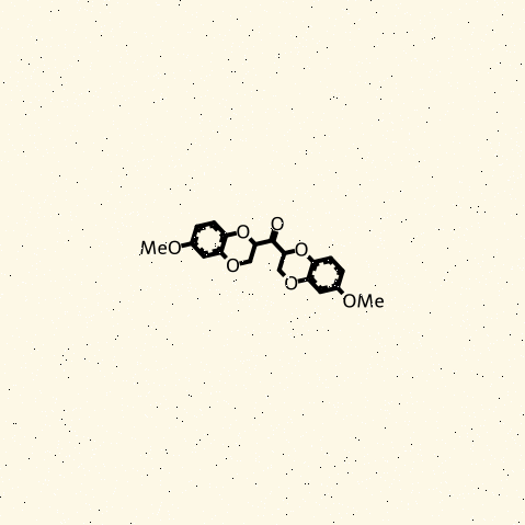 COc1ccc2c(c1)OCC(C(=O)C1COc3cc(OC)ccc3O1)O2